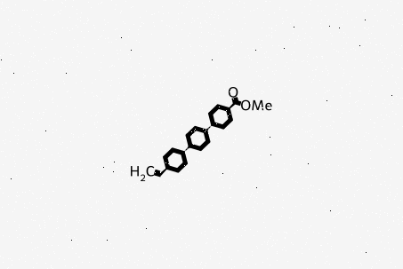 C=C[C@H]1CC[C@H](C2CCC([C@H]3CC[C@H](C(=O)OC)CC3)CC2)CC1